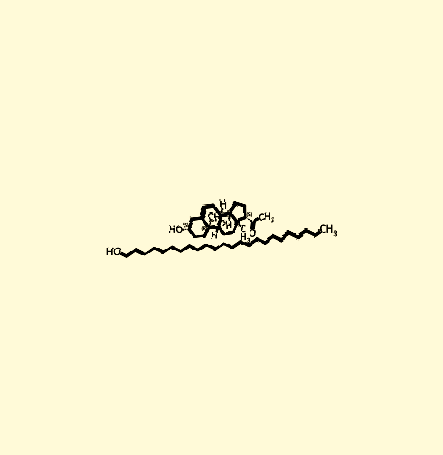 CC(=O)[C@H]1CC[C@H]2[C@@H]3CC=C4C[C@@H](O)CC[C@]4(C)[C@H]3CC[C@]12C.CCCCCCCCCCCCCCCCCCCCCCCCO